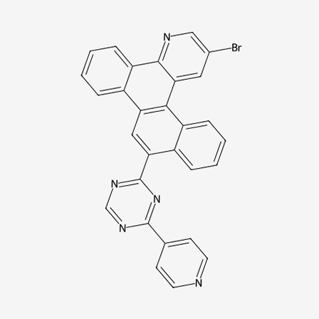 Brc1cnc2c3ccccc3c3cc(-c4ncnc(-c5ccncc5)n4)c4ccccc4c3c2c1